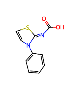 O=C(O)N=c1sccn1-c1ccccc1